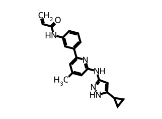 C=CC(=O)Nc1cccc(-c2cc(C)cc(Nc3cc(C4CC4)[nH]n3)n2)c1